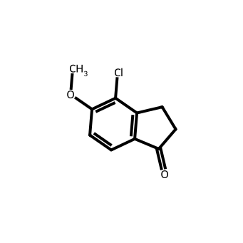 COc1ccc2c(c1Cl)CCC2=O